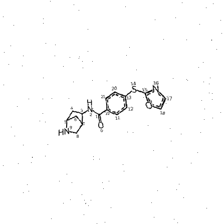 O=C(NC1CC2CC1CN2)c1ccc(Sc2ncco2)cc1